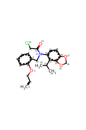 C=CCOc1ccccc1CN(C(=O)CCl)c1ccc2c(c1C(C)C)OCO2